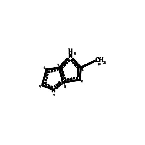 Cc1cn2nccc2[nH]1